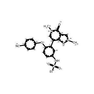 CCS(=O)(=O)Nc1ccc(Oc2ccc(C#N)cc2)c(-c2cn(C)c(=O)c3cn(C)nc23)c1